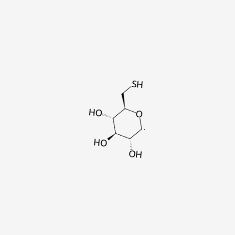 O[C@H]1[C@H](O)[C@@H](CS)O[CH][C@@H]1O